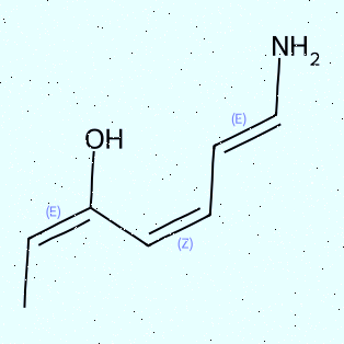 C\C=C(O)/C=C\C=C\N